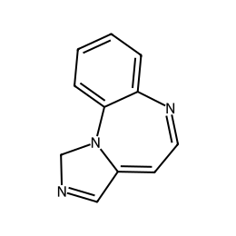 C1=NCN2C1=CC=Nc1ccccc12